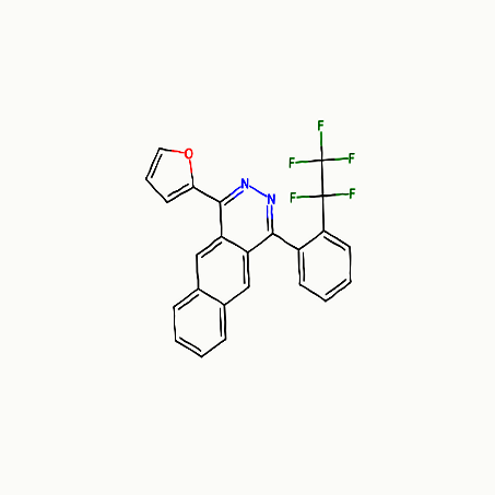 FC(F)(F)C(F)(F)c1ccccc1-c1nnc(-c2ccco2)c2cc3ccccc3cc12